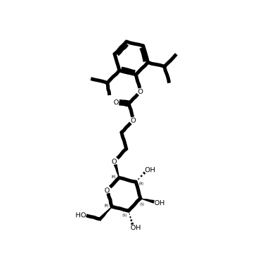 CC(C)c1cccc(C(C)C)c1OC(=O)OCCO[C@@H]1O[C@H](CO)[C@@H](O)[C@H](O)[C@H]1O